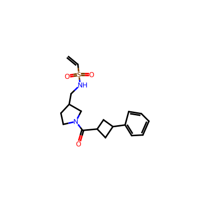 C=CS(=O)(=O)NCC1CCN(C(=O)C2CC(c3ccccc3)C2)C1